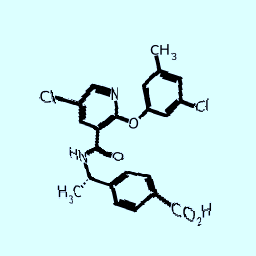 Cc1cc(Cl)cc(Oc2ncc(Cl)cc2C(=O)N[C@@H](C)c2ccc(C(=O)O)cc2)c1